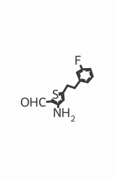 Nc1cc(CCc2cccc(F)c2)sc1C=O